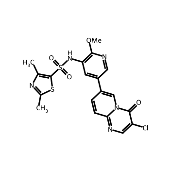 COc1ncc(-c2ccc3ncc(Cl)c(=O)n3c2)cc1NS(=O)(=O)c1sc(C)nc1C